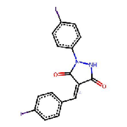 O=C1NN(c2ccc(I)cc2)C(=O)/C1=C\c1ccc(I)cc1